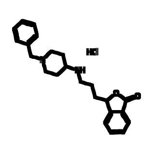 Cl.O=C1OC(CCCNC2CCN(Cc3ccccc3)CC2)c2ccccc21